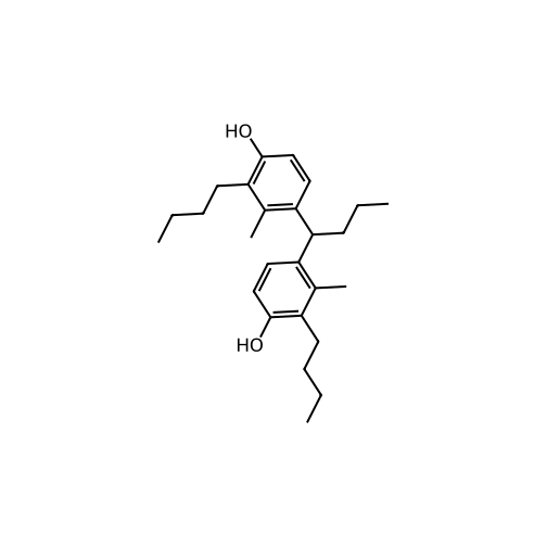 CCCCc1c(O)ccc(C(CCC)c2ccc(O)c(CCCC)c2C)c1C